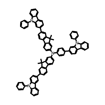 CC1(C)c2cc(-c3ccc4c(c3)c3ccccc3n4-c3ccccc3)ccc2-c2ccc(N(c3ccc(-c4ccc5c6ccccc6n(-c6ccccc6)c5c4)cc3)c3ccc4c(c3)C(C)(C)c3cc(-c5ccc6c7ccccc7n(-c7ccccc7)c6c5)ccc3-4)cc21